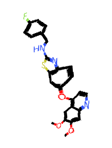 COc1cc2nccc(Oc3ccc4nc(NCc5ccc(F)cc5)sc4c3)c2cc1OC